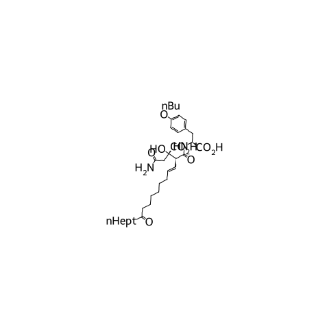 CCCCCCCC(=O)CCCCCCC=C[C@H](C(=O)N[C@@H](Cc1ccc(OCCCC)cc1)C(=O)O)[C@@](O)(CC(N)=O)C(=O)O